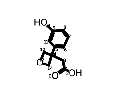 O=C(O)CC1(c2cccc(O)c2)COC1